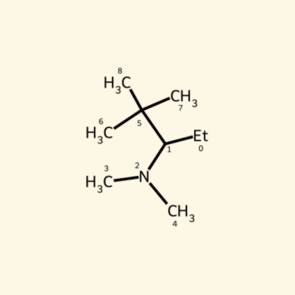 CCC(N(C)C)C(C)(C)C